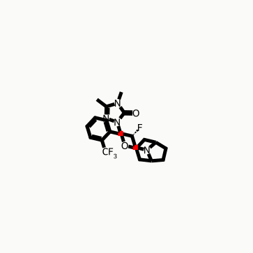 Cc1nn(C[C@H](F)CN2C3CCC2CC(OCc2ccccc2C(F)(F)F)C3)c(=O)n1C